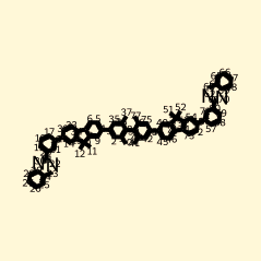 Cc1cc(-c2ccc3c(c2)C(C)(C)c2cc(-c4cccc(-c5ncc6ccccc6n5)c4)ccc2-3)cc(C)c1-c1c(C)cc(-c2ccc3c(c2)C(C)(C)c2cc(-c4cccc(-c5ncc6ccccc6n5)c4)ccc2-3)cc1C